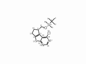 CC(C)(C)[Si](C)(C)OC[C@@H]1CCc2sc3ncnc(Cl)c3c21